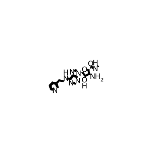 CNC(=O)[C@H]1O[C@@H](n2cnc3c(NCCc4cccnc4)ncnc32)[C@H](O)[C@@H]1N